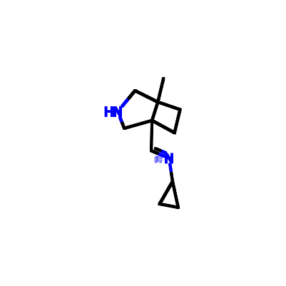 CC12CCC1(/C=N/C1CC1)CNC2